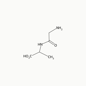 CC(NC(=O)CN)C(=O)O